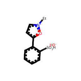 CC[n+]1ccc(-c2ccccc2S(=O)(=O)O)o1.[OH-]